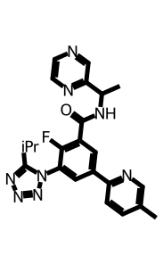 Cc1ccc(-c2cc(C(=O)NC(C)c3cnccn3)c(F)c(-n3nnnc3C(C)C)c2)nc1